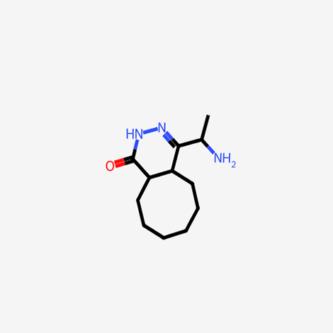 CC(N)C1=NNC(=O)C2CCCCCCC12